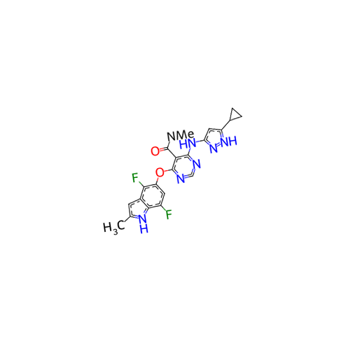 CNC(=O)c1c(Nc2cc(C3CC3)[nH]n2)ncnc1Oc1cc(F)c2[nH]c(C)cc2c1F